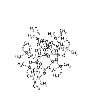 C=C[Si](C)(C)O[Si]12O[Si]3(O[Si](C)(C)C=C)O[Si]4(O[Si](C)(C)C=C)O[Si](O[Si](C)(C)C=C)(O1)O[Si]1(O[Si](C)(C)C=C)O[Si](O[Si](C)(C)C=C)(O2)O[Si](O[Si](C)(C)C=C)(O3)O[Si](O[Si](C)(C)C=C)(O4)O1